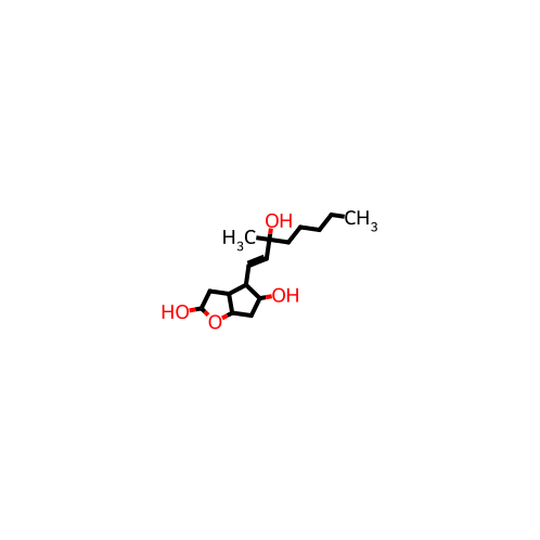 CCCCCC(C)(O)C=CC1C(O)CC2OC(O)CC21